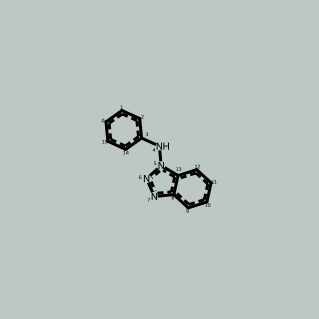 c1ccc(Nn2nnc3ccccc32)cc1